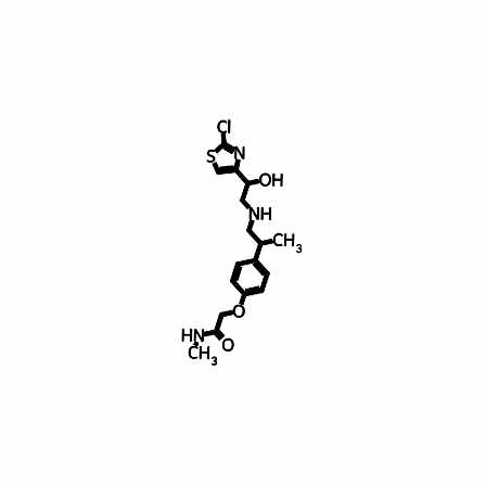 CNC(=O)COc1ccc(C(C)CNCC(O)c2csc(Cl)n2)cc1